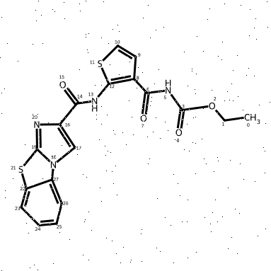 CCOC(=O)NC(=O)c1ccsc1NC(=O)c1cn2c(n1)sc1ccccc12